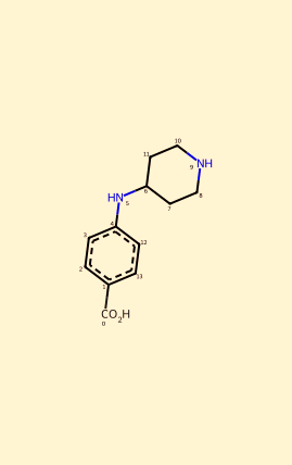 O=C(O)c1ccc(NC2CCNCC2)cc1